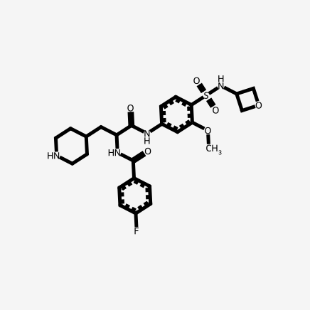 COc1cc(NC(=O)C(CC2CCNCC2)NC(=O)c2ccc(F)cc2)ccc1S(=O)(=O)NC1COC1